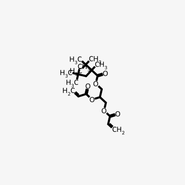 C=CC(=O)OCC(COC(=O)C(C)(CC(C)(C)C)C(C)(C)C)OC(=O)C=C